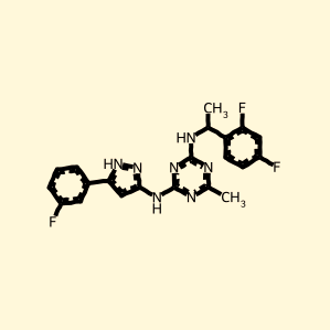 Cc1nc(Nc2cc(-c3cccc(F)c3)[nH]n2)nc(NC(C)c2ccc(F)cc2F)n1